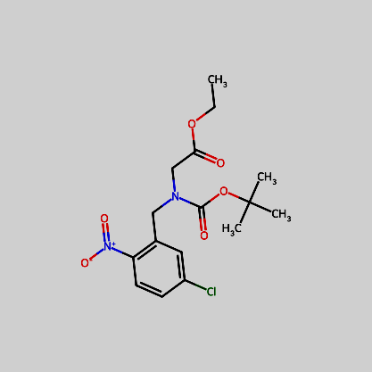 CCOC(=O)CN(Cc1cc(Cl)ccc1[N+](=O)[O-])C(=O)OC(C)(C)C